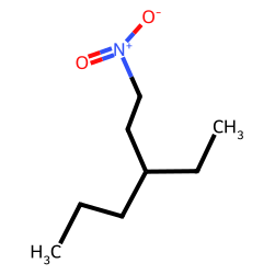 CCCC(CC)CC[N+](=O)[O-]